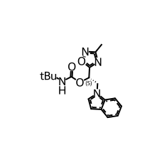 Cc1noc([C@H](Cn2ccc3ccccc32)OC(=O)NC(C)(C)C)n1